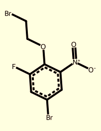 O=[N+]([O-])c1cc(Br)cc(F)c1OCCBr